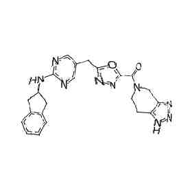 O=C(c1nnc(Cc2cnc(NC3Cc4ccccc4C3)nc2)o1)N1CCc2[nH]nnc2C1